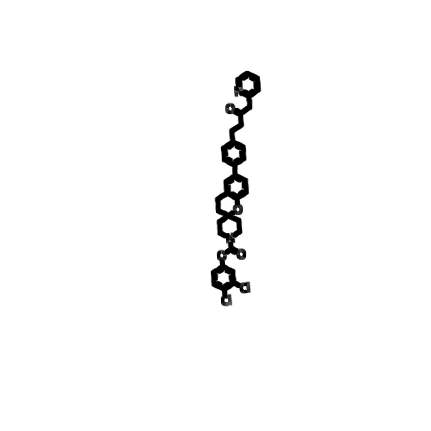 O=C(CCc1ccc(-c2ccc3c(c2)CCC2(CCN(C(=O)Oc4ccc(Cl)c(Cl)c4)CC2)O3)cc1)Cc1ccccn1